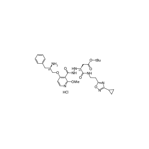 COc1nccc(OC[C@H](N)Cc2ccccc2)c1C(=O)NN[C@@H](CC(=O)OC(C)(C)C)C(=O)NCCc1nc(C2CC2)no1.Cl